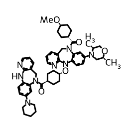 CO[C@H]1CC[C@H](C(=O)N2Cc3cccnc3N(O[C@H]3CC[C@H](C(=O)N4Cc5cccnc5Nc5ccc(N6CCCCC6)cc54)CC3)c3ccc(N4C[C@H](C)OC[C@@H]4C)cc32)CC1